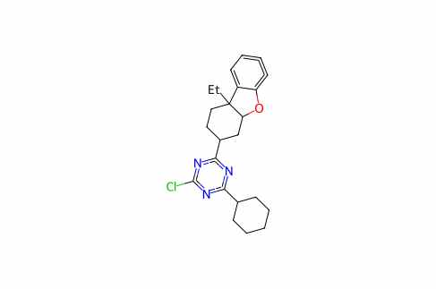 CCC12CCC(c3nc(Cl)nc(C4CCCCC4)n3)CC1OC1=C=C=CC=C12